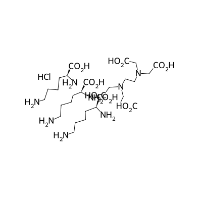 Cl.NCCCC[C@H](N)C(=O)O.NCCCC[C@H](N)C(=O)O.NCCCC[C@H](N)C(=O)O.O=C(O)CN(CCN(CC(=O)O)CC(=O)O)CC(=O)O